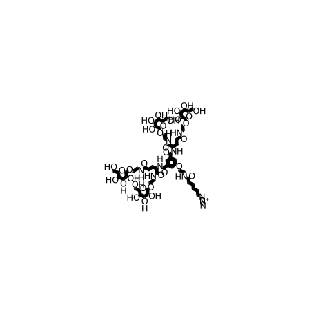 [N-]=[N+]=NCCCCCC(=O)NCCOc1cc(C(=O)NC(CCC(=O)NCCO[C@@H]2OC(CO)[C@@H](O)C(O)C2O)C(=O)NCCO[C@@H]2OC(CO)[C@@H](O)C(O)C2O)cc(C(=O)NC(CCC(=O)NCCO[C@@H]2OC(CO)[C@@H](O)C(O)C2O)C(=O)NCCO[C@@H]2OC(CO)[C@@H](O)C(O)C2O)c1